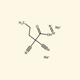 CCCC(C#N)(C#N)C(=O)O.[N-]=[N-].[Na+].[Na+]